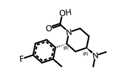 Cc1cc(F)ccc1[C@H]1C[C@H](N(C)C)CCN1C(=O)O